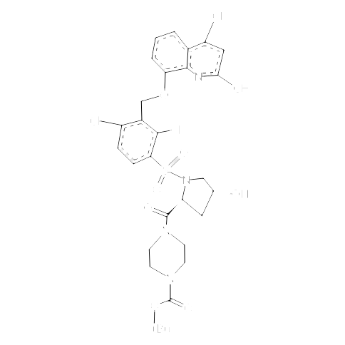 Cc1cc(C)c2cccc(OCc3c(Cl)ccc(S(=O)(=O)N4C[C@H](O)C[C@H]4C(=O)N4CCN(C(=O)OC(C)(C)C)CC4)c3Cl)c2n1